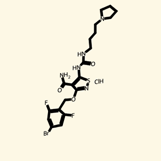 Cl.NC(=O)c1c(OCc2c(F)cc(Br)cc2F)nsc1NC(=O)NCCCCN1CCCC1